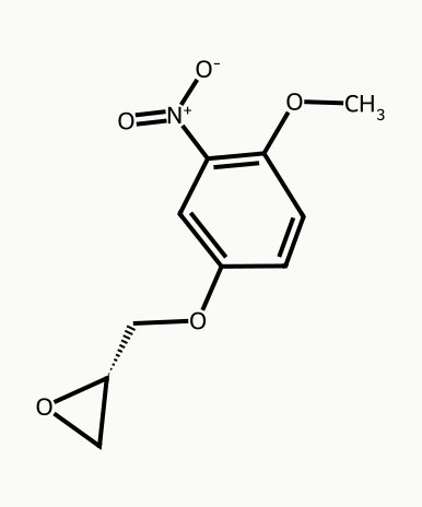 COc1ccc(OC[C@@H]2CO2)cc1[N+](=O)[O-]